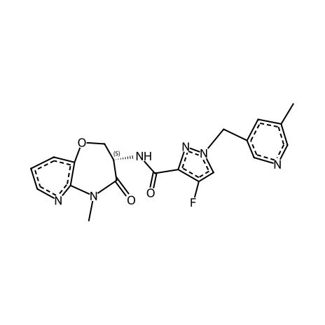 Cc1cncc(Cn2cc(F)c(C(=O)N[C@H]3COc4cccnc4N(C)C3=O)n2)c1